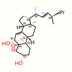 CC(C)[C@@H](C)/C=C/[C@@H](C)[C@H]1CC[C@H]2C3=C[C@@H](O)[C@@]4(O)C[C@@H](O)CC[C@]4(C)[C@H]3CC[C@]12C